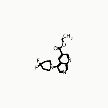 CCOC(=O)c1cnc2cncc(N3CCC(F)(F)CC3)c2c1